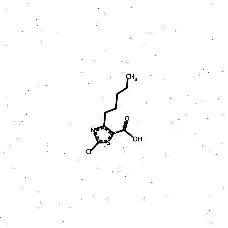 CCCCCc1nc(Cl)sc1C(=O)O